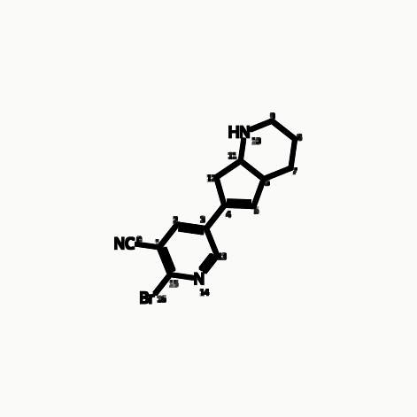 N#Cc1cc(C2=CC3CCCNC3C2)cnc1Br